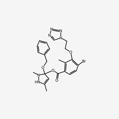 CC1=CC(OCc2ccccc2)(OC(=O)c2ccc(Br)c(OCCn3cnnn3)c2C)N(C)N1